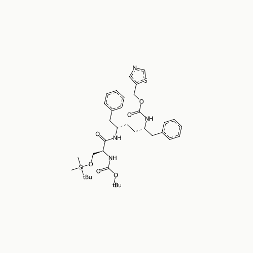 CC(C)(C)OC(=O)N[C@@H](CO[Si](C)(C)C(C)(C)C)C(=O)N[C@@H](CC[C@@H](Cc1ccccc1)NC(=O)OCc1cncs1)Cc1ccccc1